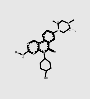 CCCCNc1ncc2c3ccc(N4C[C@@H](C)N(C)C[C@@H]4C)cc3c(=O)n(C3CCC(O)CC3)c2n1